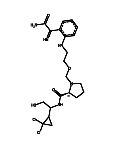 N=C(C(N)=O)c1ccccc1NCCOCN1CCC[C@H]1C(=O)NC(CO)C1CC1(Cl)Cl